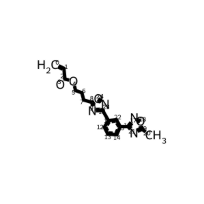 C=CC(=O)OCCCc1nc(-c2cccc(-c3noc(C)n3)c2)no1